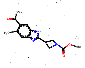 COC(=O)c1cc2[nH]c(C3CN(C(=O)OC(C)(C)C)C3)nc2cc1C